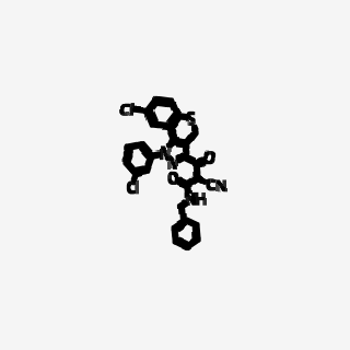 N#CC(C(=O)NCc1ccccc1)C(=O)c1nn(-c2cccc(Cl)c2)c2c1CSc1ccc(Cl)cc1-2